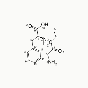 CCOC(=O)CN.N[C@@H](Cc1ccccc1)C(=O)O